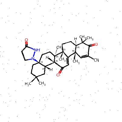 CC1(C)CC[C@]2(N3CCC(=O)N3)CC[C@]3(C)[C@H](C(=O)C=C4[C@@]5(C)C=C(C#N)C(=O)C(C)(C)[C@@H]5CC[C@]43C)[C@@H]2C1